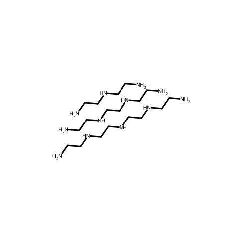 NCCNCCN.NCCNCCNCCN.NCCNCCNCCNCCN